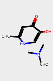 CN(C)C=O.O=Cc1cc(=O)c(O)c[nH]1